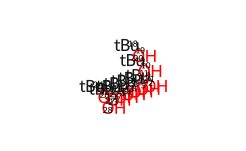 CC(C)(C)CO.CC(C)(C)CO.CC(C)(C)CO.CC(C)(C)CO.CC(C)(C)CO.CC(C)(C)CO.CC(C)(C)CO.CC(C)(C)CO.CC(C)(C)COCO